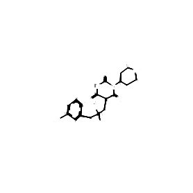 O=C1NC(=O)N(C2CCOCC2)C(=O)C1CC(F)(F)Cc1cccc(F)c1